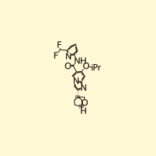 CC(C)Oc1cc2nc([C@@]34CC[C@@H](C3)OC4)cn2cc1C(=O)Nc1cccc(C(F)F)n1